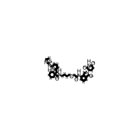 O=C1CCC(N2Cc3c(NC(=O)COCCCCNC(=O)C4(Cc5cccc(Nc6nccs6)n5)CCCCC4)cccc3C2=O)C(=O)N1